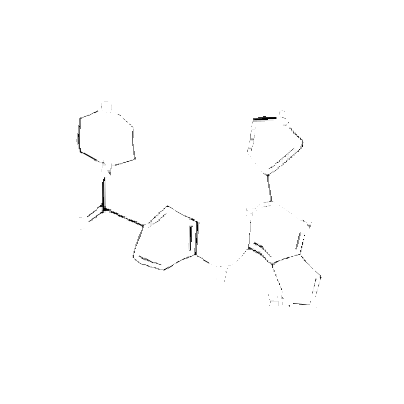 O=C(c1ccc(Nc2nc(-c3ccsc3)nc3cn[nH]c23)cc1)N1CCOCC1